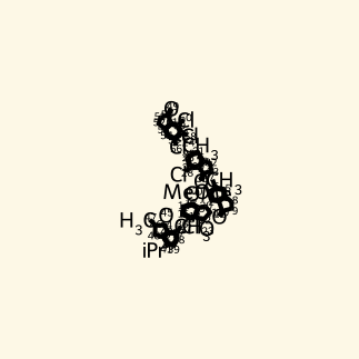 COc1cc2c(cc1C)CCC2=O.COc1ccc(Cl)c2c1CCC2=O.Cc1cc(Cl)c2c(c1)CCC2=O.Cc1ccc(C(C)C)c2c1C(=O)C(C)C2.O=C1CCc2cc(Cl)c(Cl)c(Cl)c21